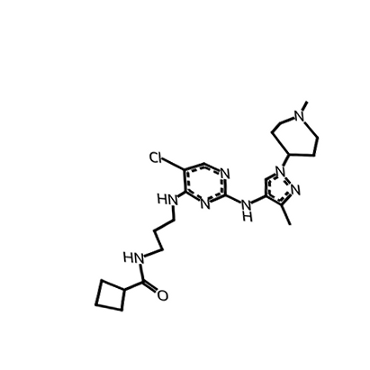 Cc1nn(C2CCN(C)CC2)cc1Nc1ncc(Cl)c(NCCCNC(=O)C2CCC2)n1